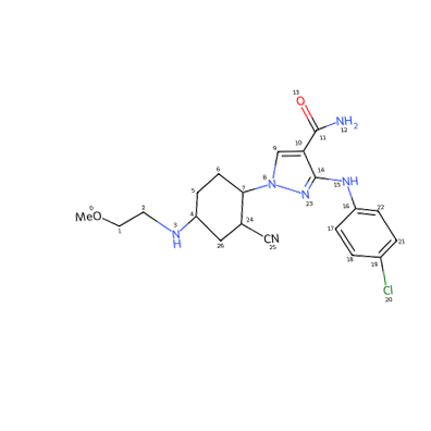 COCCNC1CCC(n2cc(C(N)=O)c(Nc3ccc(Cl)cc3)n2)C(C#N)C1